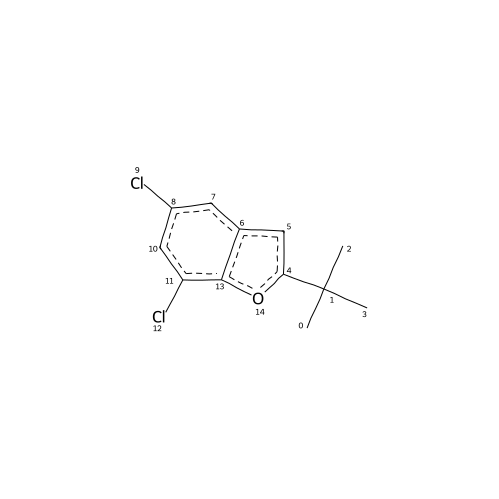 CC(C)(C)c1cc2cc(Cl)cc(Cl)c2o1